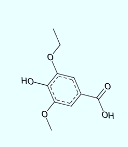 CCOc1cc(C(=O)O)cc(OC)c1O